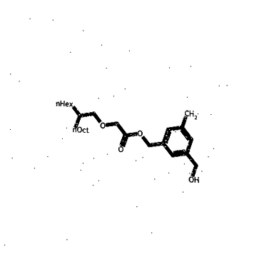 [CH2]c1cc(CO)cc(COC(=O)COCC(CCCCCC)CCCCCCCC)c1